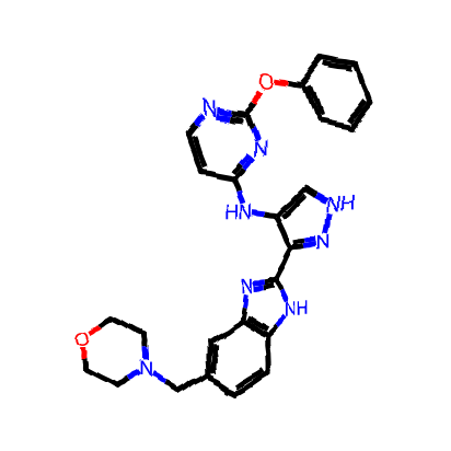 c1ccc(Oc2nccc(Nc3c[nH]nc3-c3nc4cc(CN5CCOCC5)ccc4[nH]3)n2)cc1